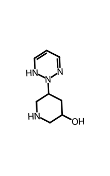 OC1CNCC(N2N=CC=CN2)C1